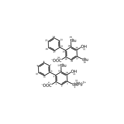 CC(C)(C)c1cc(C(=O)[O-])c(-c2ccccc2)c(C(C)(C)C)c1O.CC(C)(C)c1cc(C(=O)[O-])c(-c2ccccc2)c(C(C)(C)C)c1O.[Mg+2]